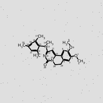 COc1cc2c(cc1OC)-c1cc(N(C)c3c(C)cc(C)cc3C)nc(=O)n1CC2